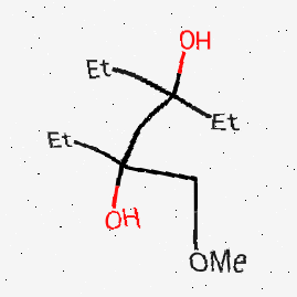 CCC(O)(CC)C(O)(CC)COC